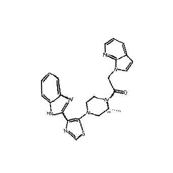 C[C@@H]1CN(c2scnc2-c2nc3ccccc3[nH]2)CCN1C(=O)Cn1ccc2cccnc21